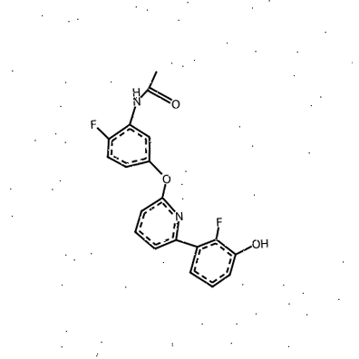 CC(=O)Nc1cc(Oc2cccc(-c3cccc(O)c3F)n2)ccc1F